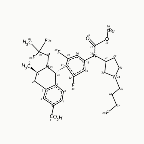 C[C@@H]1Cc2cc(C(=O)O)ccc2[C@@H](c2c(F)cc(N(C(=O)OC(C)(C)C)C3CCN(CCCF)C3)cc2F)N1CC(C)(F)F